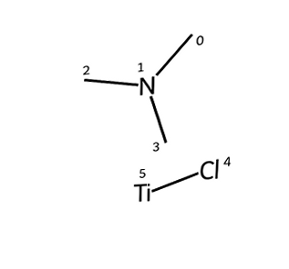 CN(C)C.[Cl][Ti]